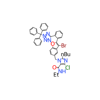 CCCCc1nc(Cl)c(C(=O)NCC)n1Cc1ccc2oc(-c3ccccc3-c3nnn(C(c4ccccc4)(c4ccccc4)c4ccccc4)n3)c(Br)c2c1